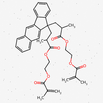 C=C(C)C(=O)OCCOC(=O)C(C)CC1(CC(C)C(=O)OCCOC(=O)C(=C)C)c2ccccc2-c2cc3ccccc3cc21